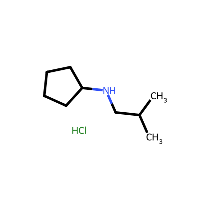 CC(C)CNC1CCCC1.Cl